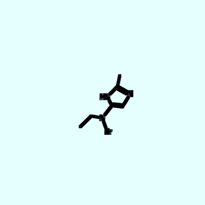 CCN(Br)c1cnc(C)[nH]1